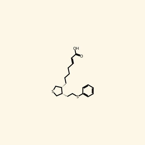 O=C(O)C=CCCCC[C@H]1CSC[C@H]1CCSc1ccccc1